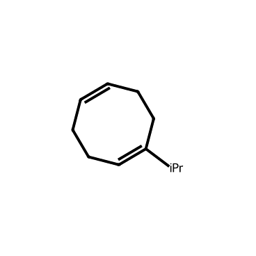 [CH2]C(C)C1=CCCC=CCC1